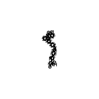 O=C1CCC(c2ccc(N3CCC4(CC3)CN(CC3CCC(c5ccc6c(c5)-n5c(nc(=O)c7c(Cl)cccc75)C65CCCCC5)CC3)C4)cn2)C(=O)N1